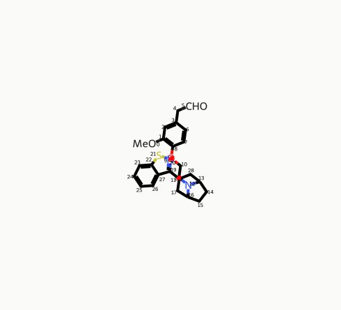 COc1cc(CC=O)ccc1OCCN1C2CCC1CC(c1nsc3ccccc13)C2